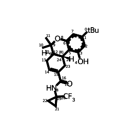 CC(C)(C)c1cc(O)c2c(c1)OC(C)(C)[C@@H]1CC=C(C(=O)NC3(C(F)(F)F)CC3)C[C@@H]21